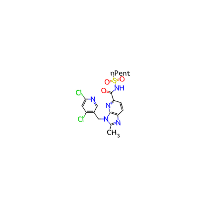 CCCCCS(=O)(=O)NC(=O)c1ccc2nc(C)n(Cc3cnc(Cl)cc3Cl)c2n1